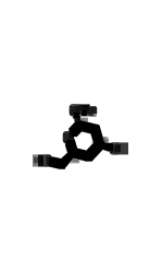 CO[C@@H]1C[C@@H](O)C[C@@H](CO)O1